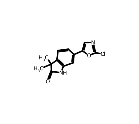 CC1(C)C(=O)Nc2cc(-c3cnc(Cl)o3)ccc21